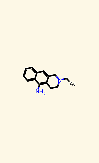 CC(=O)CN1CCc2c(cc3ccccc3c2N)C1